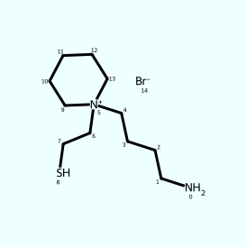 NCCCC[N+]1(CCS)CCCCC1.[Br-]